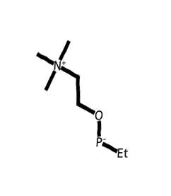 CC[P-]OCC[N+](C)(C)C